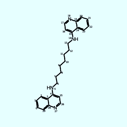 c1ccc2c(NCCCCCCCCNc3ccnc4ccccc34)ccnc2c1